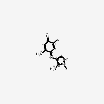 CC1=CC(=Nc2cnn(C)c2N)C(N)=CC1=O